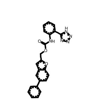 O=C(Nc1ccccc1-c1nnn[nH]1)OCc1cc2cc(-c3ccccc3)ccc2o1